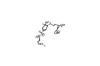 C[C@]1(N)CN(S(=O)(=O)NCCN)C[C@@H]1CCCB(O)O